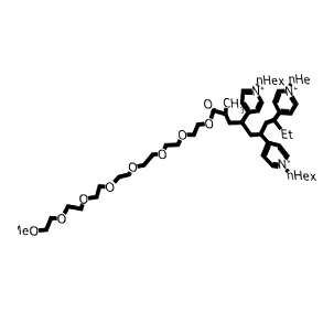 CCCCCC[n+]1ccc(C(CC)CC(CC(CC(C)C(=O)OCCOCCOCCOCCOCCOCCOCCOC)c2cc[n+](CCCCCC)cc2)c2cc[n+](CCCCCC)cc2)cc1